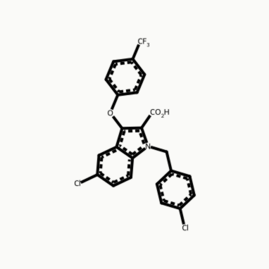 O=C(O)c1c(Oc2ccc(C(F)(F)F)cc2)c2cc(Cl)ccc2n1Cc1ccc(Cl)cc1